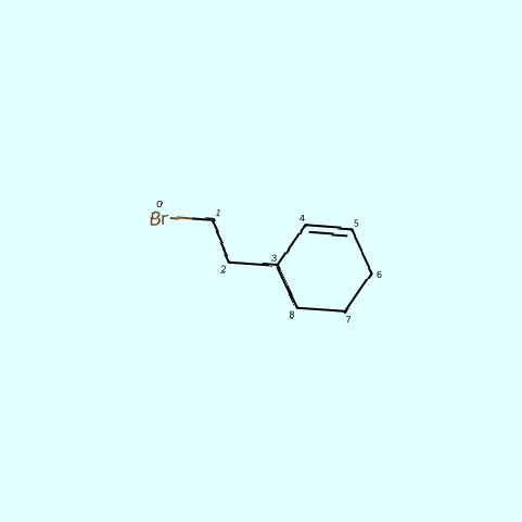 BrCCC1C=CCCC1